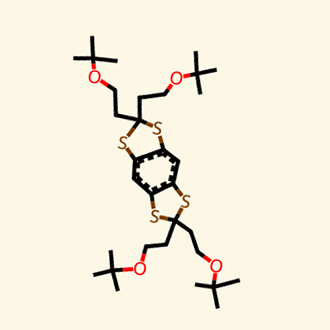 CC(C)(C)OCCC1(CCOC(C)(C)C)Sc2cc3c(cc2S1)SC(CCOC(C)(C)C)(CCOC(C)(C)C)S3